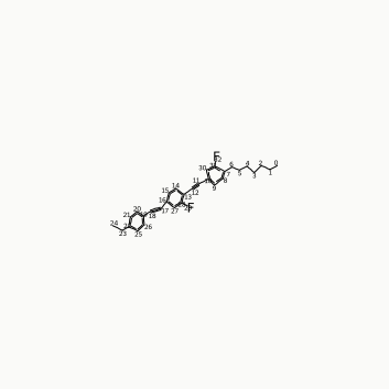 CCCCCCCc1ccc(C#Cc2ccc(C#Cc3ccc(CC)cc3)cc2F)cc1F